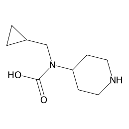 O=C(O)N(CC1CC1)C1CCNCC1